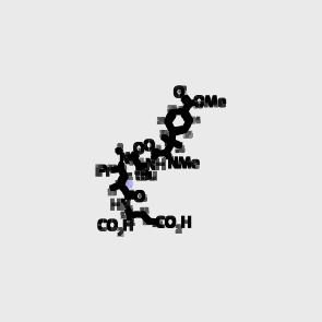 CNC(C(=O)NC(C(=O)N(C)C(/C=C(\C)C(=O)NC(CCC(=O)O)C(=O)O)C(C)C)C(C)(C)C)C(C)(C)c1ccc(C(=O)OC)cc1